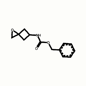 O=C(NC1CC2(CO2)C1)OCc1ccccc1